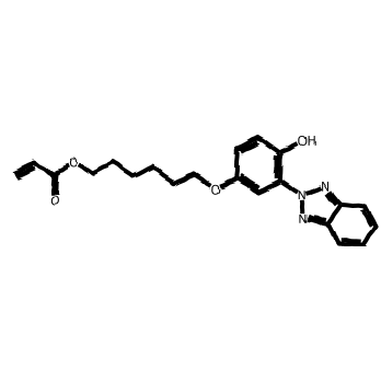 C=CC(=O)OCCCCCCOc1ccc(O)c(-n2nc3ccccc3n2)c1